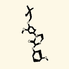 COc1cccc(Sc2nccn(-c3ccc(OCC(C)(C)C)c(OC)c3)c2=O)c1